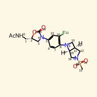 CC(=O)NC[C@H]1CN(c2ccc(N3C[C@H]4CN(S(C)(=O)=O)C[C@H]43)c(F)c2)C(=O)O1